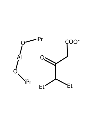 CC(C)[O][Al+][O]C(C)C.CCC(CC)C(=O)CC(=O)[O-]